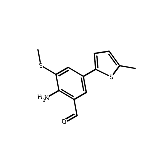 CSc1cc(-c2ccc(C)s2)cc(C=O)c1N